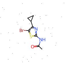 CC(=O)Nc1nc(C2CC2)c(Br)s1